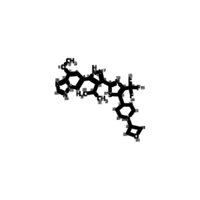 COc1cc(-c2[nH]nc(-c3nc(C(F)(F)F)c(C4CCN(C5COC5)CC4)s3)c2C(C)C)cn2ncnc12